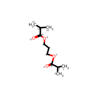 CC(C)C(=O)OCCCOC(=O)C(C)C